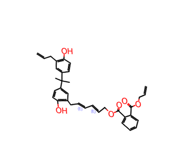 C=CCOC(=O)c1ccccc1C(=O)OC/C=C/C=C/Cc1cc(C(C)(C)c2ccc(O)c(CC=C)c2)ccc1O